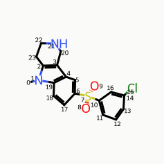 Cn1c2c(c3cc(S(=O)(=O)c4cccc(Cl)c4)ccc31)CNCC2